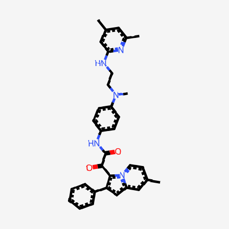 Cc1cc(C)nc(NCCN(C)c2ccc(NC(=O)C(=O)c3c(-c4ccccc4)cc4cc(C)ccn34)cc2)c1